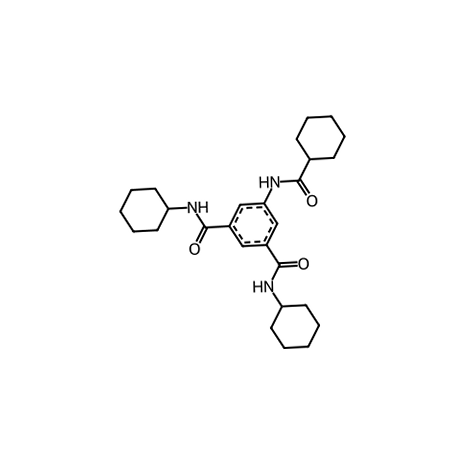 O=C(NC1CCCCC1)c1cc(NC(=O)C2CCCCC2)cc(C(=O)NC2CCCCC2)c1